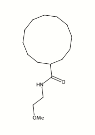 COCCNC(=O)C1CCCCCCCCCCC1